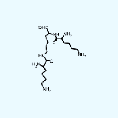 NCCCCC(N)C(=O)NCCCCC(C=O)NC(=O)C(N)CCCCN